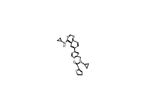 O=C(c1cccs1)N(Cc1cc(-c2ccc3ncnc(NC4CC4)c3c2)ccn1)C1CC1